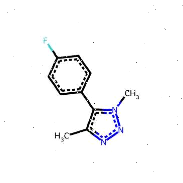 Cc1nnn(C)c1-c1ccc(F)cc1